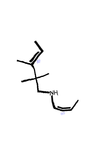 C/C=C\NCC(C)(C)/C(C)=C/C